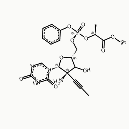 CC#C[C@@]1(N)C(O)[C@@H](CO[P@](=O)(Oc2ccccc2)O[C@@H](C)C(=O)OC(C)C)O[C@H]1n1cnc(=O)[nH]c1=O